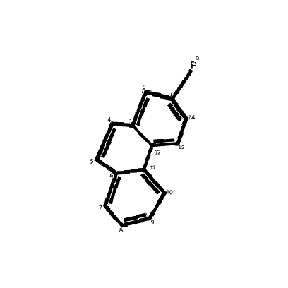 Fc1[c]c2ccc3c[c]ccc3c2cc1